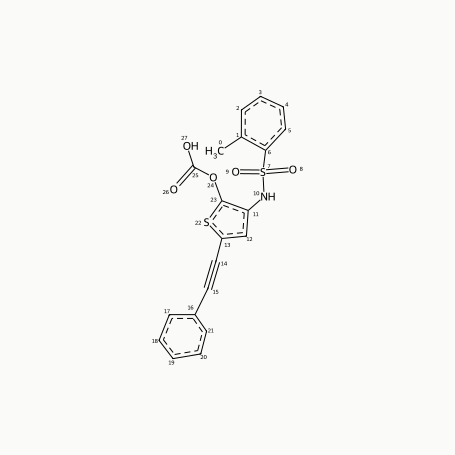 Cc1ccccc1S(=O)(=O)Nc1cc(C#Cc2ccccc2)sc1OC(=O)O